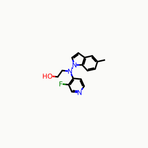 Cc1ccc2c(ccn2N(CCO)c2ccncc2F)c1